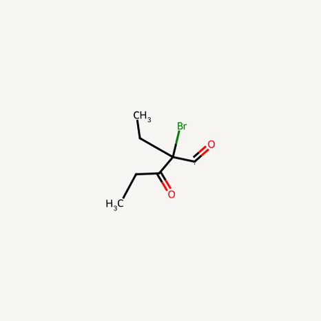 CCC(=O)C(Br)([C]=O)CC